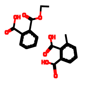 CCOC(=O)c1ccccc1C(=O)O.Cc1cccc(C(=O)O)c1C(=O)O